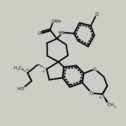 COC(=O)C1(Nc2cccc(Cl)c2)CCC2(CC1)c1cc3c(cc1C[C@@H]2C[C@@H](C)CO)O[C@H](C)CCO3